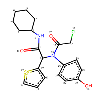 O=C(NC1CCCCC1)C(c1cccs1)N(C(=O)CCl)c1ccc(O)cc1